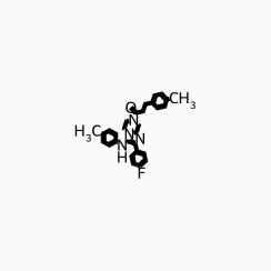 Cc1ccc(CCC(=O)N2CCn3c(nc(-c4ccc(F)cc4)c3Nc3ccc(C)cc3)C2)cc1